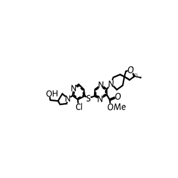 COC(=O)c1nc(Sc2ccnc(N3CCC(CO)C3)c2Cl)cnc1N1CCC2(CC1)CO[C@@H](C)C2